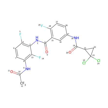 O=C(Nc1c(F)ccc(NC(=O)C(F)(F)F)c1F)c1cc(NC(=O)C2CC2(Cl)Cl)ccc1F